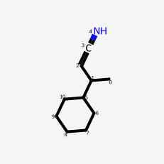 CC(C=C=N)C1CCCCC1